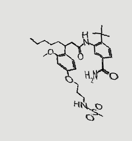 CCCCCC(CC(=O)Nc1cc(C(N)=O)ccc1C(C)(C)C)c1ccc(OCCCNS(C)(=O)=O)cc1OC